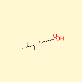 CCCC(I)CCC(I)CCC(I)C/C=C/C=C/C=C/C(=O)O